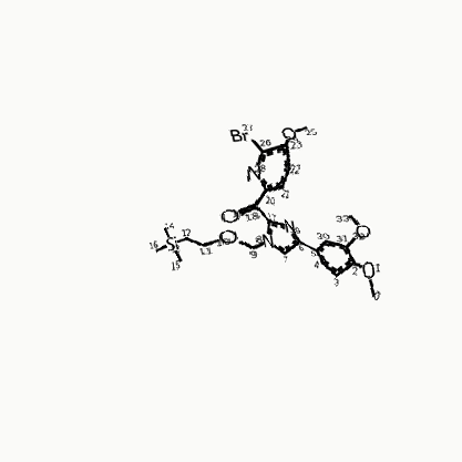 COc1ccc(-c2cn(COCC[Si](C)(C)C)c(C(=O)c3ccc(OC)c(Br)n3)n2)cc1OC